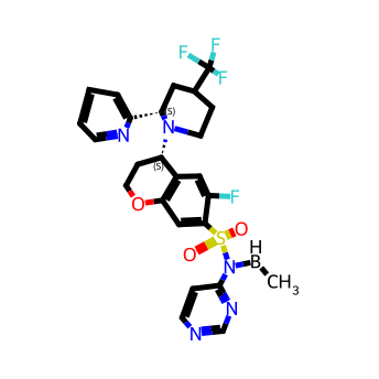 CBN(c1ccncn1)S(=O)(=O)c1cc2c(cc1F)[C@@H](N1CCC(C(F)(F)F)C[C@H]1c1ccccn1)CCO2